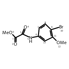 COC(=O)C(=O)Nc1ccc(Br)c(OC)c1